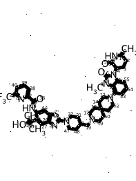 C=C1CCC(n2c(=O)n(C)c3c(N4CCC5(CCN(CC6CCN(c7nc8cc(C(C)(C)O)c(NC(=O)c9cccc(C(F)(F)F)n9)cc8s7)CC6)CC5)CC4)cccc32)C(=O)N1